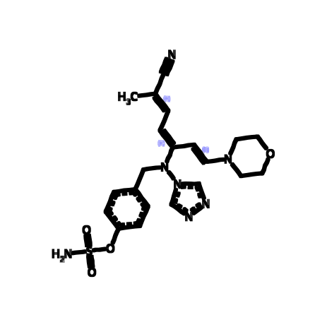 C\C(C#N)=C/C=C(\C=C\N1CCOCC1)N(Cc1ccc(OS(N)(=O)=O)cc1)n1cnnc1